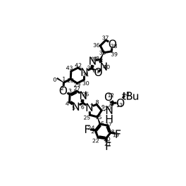 C[C@H](Oc1cnc(N2C[C@H](NC(=O)OC(C)(C)C)[C@@H](c3cc(F)c(F)cc3F)C2)nc1)C1CCN(c2nc([C@H]3CCOC3)no2)CC1